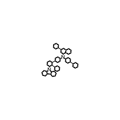 c1ccc(-c2ccc(N(c3ccc(-c4cccc(-n5c6ccccc6c6ccccc65)c4-c4ccccc4)cc3)c3cc(-c4ccccc4)cc4ccccc34)cc2)cc1